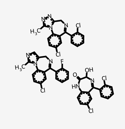 Cc1ncc2n1-c1ccc(Cl)cc1C(c1ccccc1F)=NC2.Cc1nnc2n1-c1ccc(Cl)cc1C(c1ccccc1Cl)=NC2.O=C1Nc2ccc(Cl)cc2C(c2ccccc2Cl)=NC1O